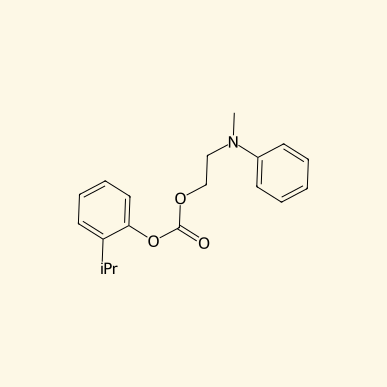 CC(C)c1ccccc1OC(=O)OCCN(C)c1ccccc1